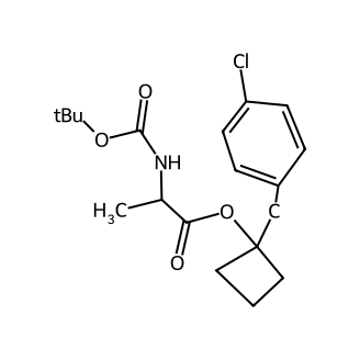 CC(NC(=O)OC(C)(C)C)C(=O)OC1(Cc2ccc(Cl)cc2)CCC1